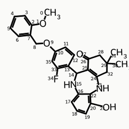 COc1ccccc1COc1ccc(C2Nc3cccc(O)c3NC3=C2C(=O)CC(C)(C)C3)c(F)c1